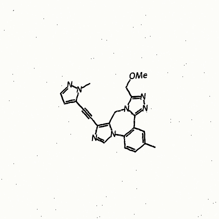 COCc1nnc2n1Cc1c(C#Cc3ccnn3C)ncn1-c1ccc(C)cc1-2